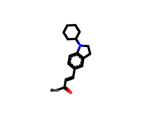 COC(=O)C=Cc1ccc2c(c1)CCN2C1CCCCC1